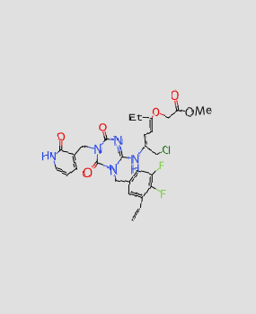 C=Cc1cc(Cn2c(N/C(=C/C=C(\CC)OCC(=O)OC)CCl)nc(=O)n(Cc3ccc[nH]c3=O)c2=O)cc(F)c1F